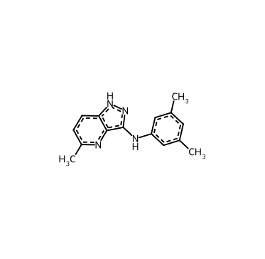 Cc1cc(C)cc(Nc2n[nH]c3ccc(C)nc23)c1